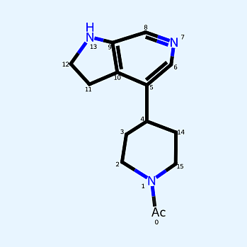 CC(=O)N1CCC(c2cncc3c2CCN3)CC1